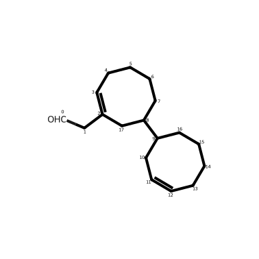 O=CCC1=CCCCCC(C2CC=CCCCC2)C1